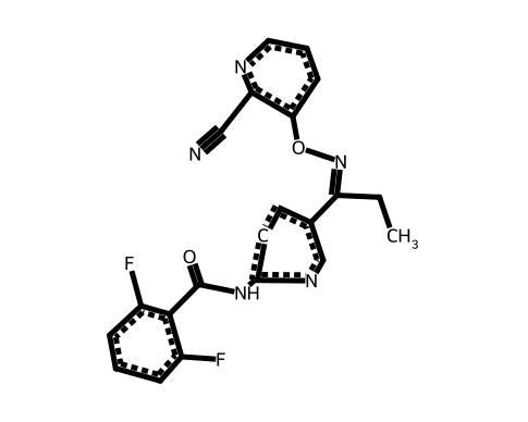 CCC(=NOc1cccnc1C#N)c1ccc(NC(=O)c2c(F)cccc2F)nc1